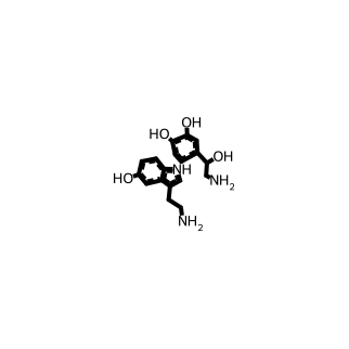 NCC(O)c1ccc(O)c(O)c1.NCCc1c[nH]c2ccc(O)cc12